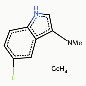 CNc1c[nH]c2ccc(F)cc12.[GeH4]